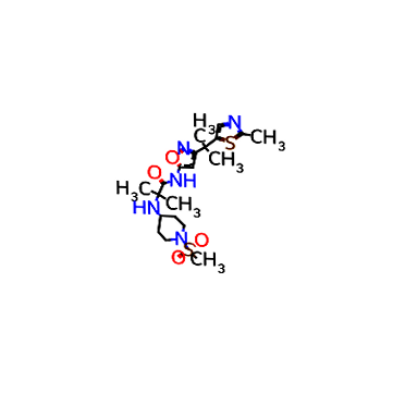 Cc1ncc(C(C)(C)c2cc(NC(=O)C(C)(C)NC3CCN(S(C)(=O)=O)CC3)on2)s1